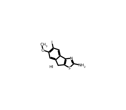 COc1cc2c(cc1I)-c1nc(N)sc1C2.I